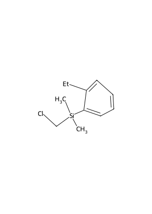 CCc1ccccc1[Si](C)(C)CCl